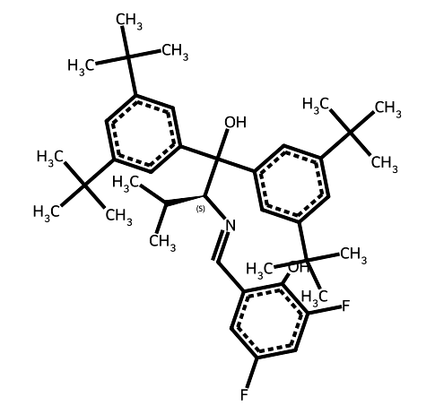 CC(C)[C@H](N=Cc1cc(F)cc(F)c1O)C(O)(c1cc(C(C)(C)C)cc(C(C)(C)C)c1)c1cc(C(C)(C)C)cc(C(C)(C)C)c1